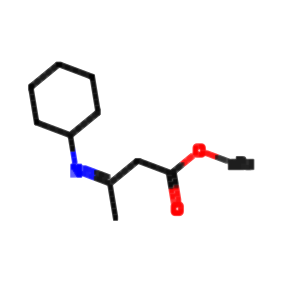 CCCCOC(=O)C/C(C)=N\C1CCCCC1